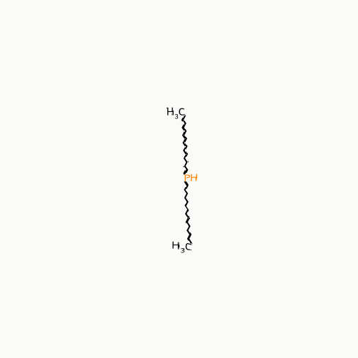 CCCCCCCCCCCCCCCC=CPC=CCCCCCCCCCCCCCCC